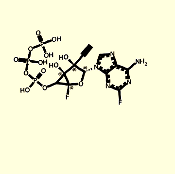 C#C[C@]1(O)[C@H](n2cnc3c(N)nc(F)nc32)O[C@]2(F)C(OP(=O)(O)OP(=O)(O)OP(=O)(O)O)[C@@]21O